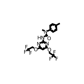 Cc1ccc(N(C)C(=O)Nc2nc(OCC(F)(F)F)cc(OCC(F)(F)F)n2)cc1